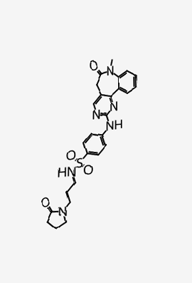 CN1C(=O)Cc2cnc(Nc3ccc(S(=O)(=O)NCCCN4CCCC4=O)cc3)nc2-c2ccccc21